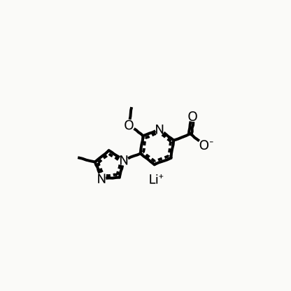 COc1nc(C(=O)[O-])ccc1-n1cnc(C)c1.[Li+]